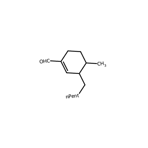 CCCCCCC1C=C(C=O)CCC1C